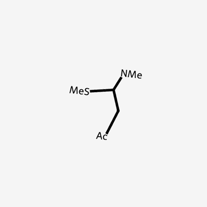 CNC(CC(C)=O)SC